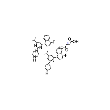 CC(C)c1cc(-c2ccc(F)c3ccccc23)nc(N2CCNCC2)n1.CC(C)c1cc(-c2ccc(F)c3ccccc23)nc(N2CCNCC2)n1.O=C(O)/C=C/C(=O)O